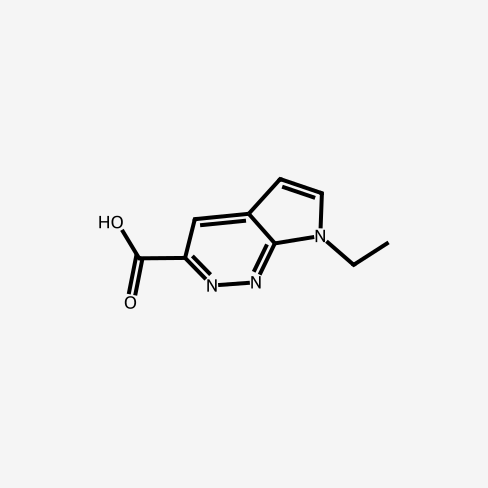 CCn1ccc2cc(C(=O)O)nnc21